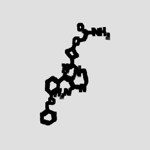 NC(=O)COC1CC(c2nc(-c3cccc(OCc4ccccc4)c3)c3c(N)nccn23)C1